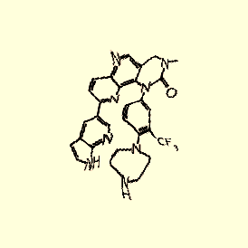 CN1Cc2cnc3ccc(-c4cnc5[nH]ccc5c4)nc3c2N(c2ccc(N3CCNCC3)c(C(F)(F)F)c2)C1=O